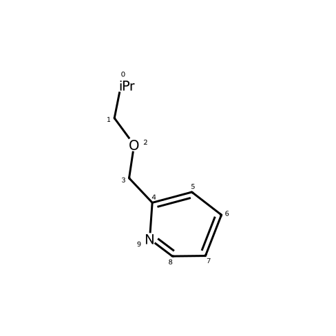 CC(C)COCc1ccccn1